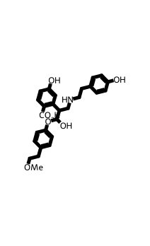 COCCc1ccc(OC(O)C(CNCCc2ccc(O)cc2)c2cc(O)ccc2C(=O)O)cc1